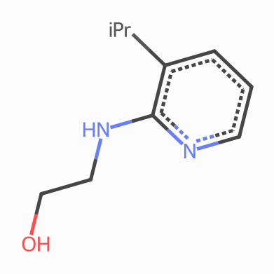 CC(C)c1cccnc1NCCO